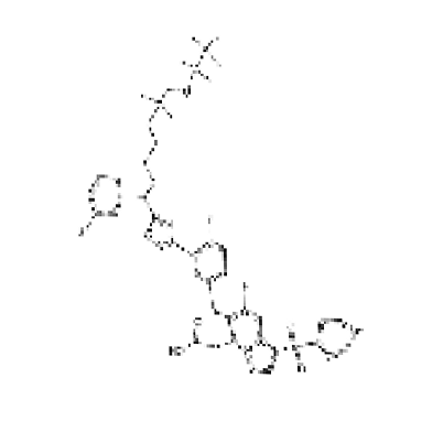 Cc1ccc(S(=O)(=O)n2ccc3c(CC(=O)O)c(Oc4ccc(F)c(-c5ccn(C(CCCCC(C)(C)CO[Si](C)(C)C(C)(C)C)c6cccc(Br)c6)n5)c4)c(F)cc32)cc1